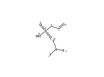 C=CCS(=O)(=O)O.FC(F)F